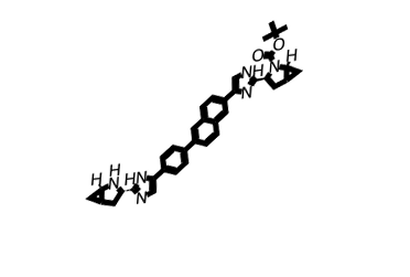 CC(C)(C)OC(=O)N1[C@@H]2CC2C[C@H]1c1nc(-c2ccc3cc(-c4ccc(-c5cnc([C@@H]6CC7C[C@H]7N6)[nH]5)cc4)ccc3c2)c[nH]1